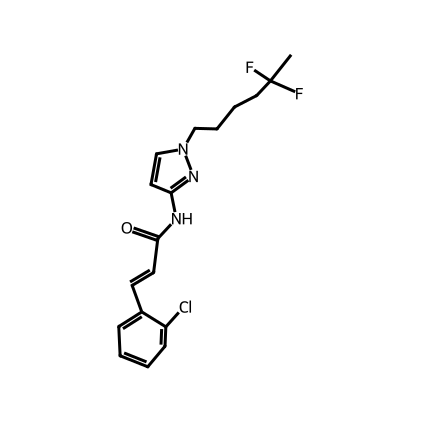 CC(F)(F)CCCCn1ccc(NC(=O)C=Cc2ccccc2Cl)n1